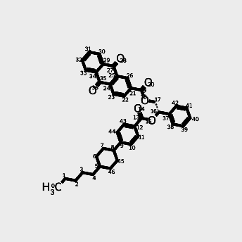 CCCCCC1CCC(c2ccc(C(=O)O[C@H](COC(=O)c3ccc4c(c3)C(=O)c3ccccc3C4=O)c3ccccc3)cc2)CC1